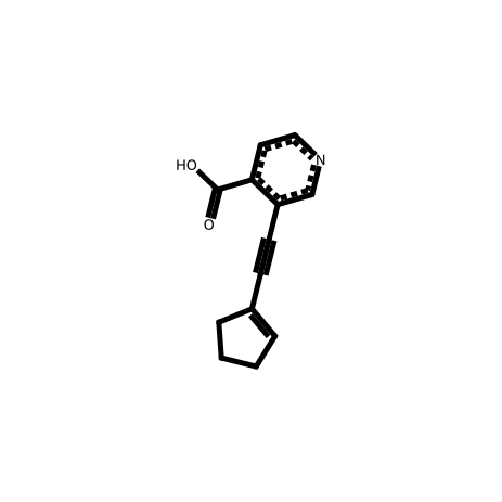 O=C(O)c1ccncc1C#CC1=CCCC1